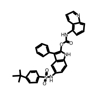 CC(C)(C)c1ccc(S(=O)(=O)Nc2ccc3[nH]c(OC(=O)Nc4cccc5ncccc45)c(-c4ccccc4)c3c2)cc1